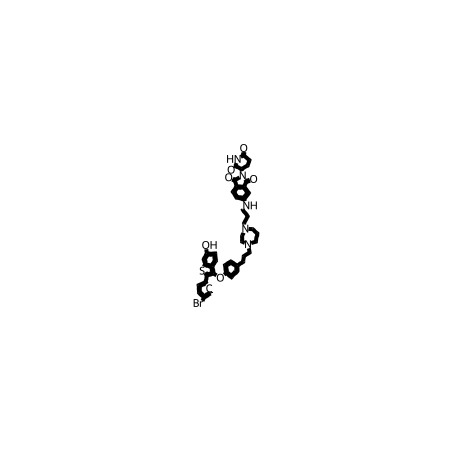 O=C1CCC(N2C(=O)c3ccc(NCCCN4CCCN(CCCc5ccc(Oc6c(-c7ccc(Br)cc7)sc7cc(O)ccc67)cc5)CC4)cc3C2=O)C(=O)N1